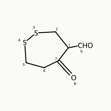 O=CC1CSSCCC1=O